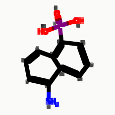 Nc1cccc2c(P(=O)(O)O)[c]ccc12